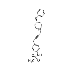 CS(=O)(=O)Nc1ccc(CC#CCN2CCC(Sc3ccccc3)CC2)cc1